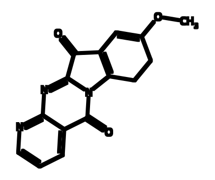 COC1=CC2=C(CC1)n1c(nc3ncccc3c1=O)C2=O